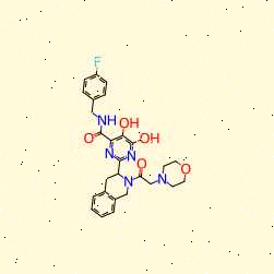 O=C(NCc1ccc(F)cc1)c1nc(C2Cc3ccccc3CN2C(=O)CN2CCOCC2)nc(O)c1O